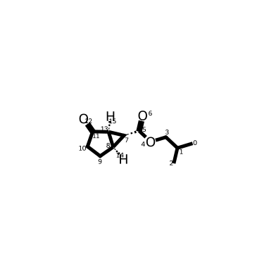 CC(C)COC(=O)[C@@H]1[C@H]2CCC(=O)[C@H]21